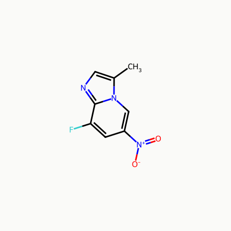 Cc1cnc2c(F)cc([N+](=O)[O-])cn12